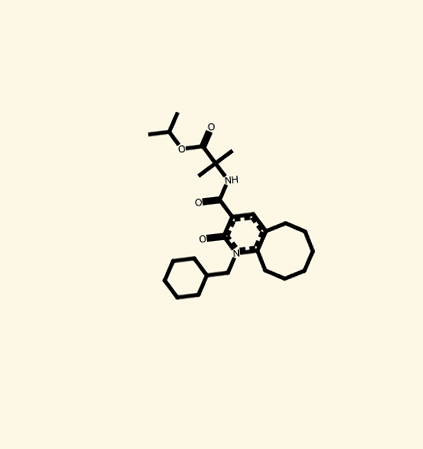 CC(C)OC(=O)C(C)(C)NC(=O)c1cc2c(n(CC3CCCCC3)c1=O)CCCCCC2